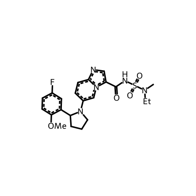 CCN(C)S(=O)(=O)NC(=O)c1cnc2ccc(N3CCCC3c3cc(F)ccc3OC)cn12